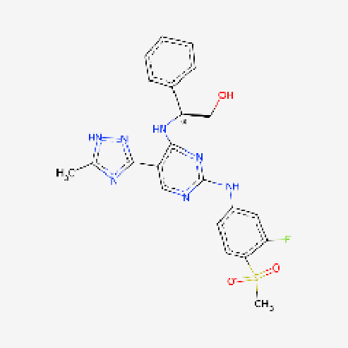 Cc1nc(-c2cnc(Nc3ccc(S(C)(=O)=O)c(F)c3)nc2N[C@H](CO)c2ccccc2)n[nH]1